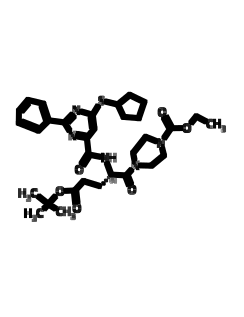 CCOC(=O)N1CCN(C(=O)[C@H](CCC(=O)OC(C)(C)C)NC(=O)c2cc(SC3CCCC3)nc(-c3ccccc3)n2)CC1